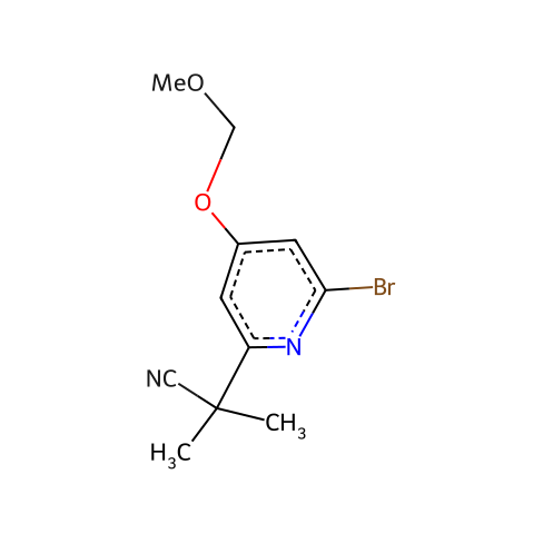 COCOc1cc(Br)nc(C(C)(C)C#N)c1